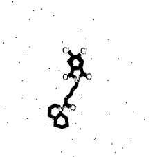 O=C1c2cc(Cl)c(Cl)cc2C(=O)N1CCCCC(=O)N1CCCC2CCCCC21